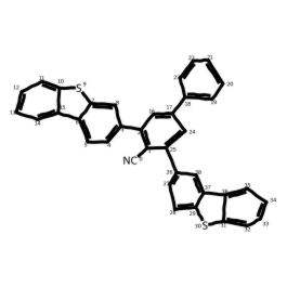 N#Cc1c(-c2ccc3c(c2)sc2ccccc23)cc(-c2ccccc2)cc1-c1ccc2sc3ccccc3c2c1